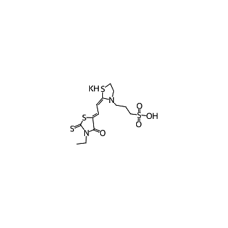 CCN1C(=O)C(=CC=C2SCCN2CCCS(=O)(=O)O)SC1=S.[KH]